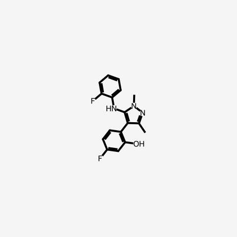 Cc1nn(C)c(Nc2ccccc2F)c1-c1ccc(F)cc1O